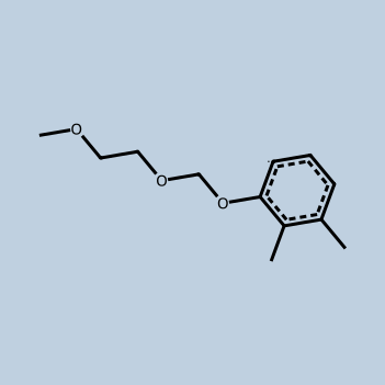 COCCOCOc1[c]ccc(C)c1C